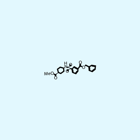 COC(=O)[C@H]1CC[C@H](NS(=O)(=O)c2cccc(C(=O)OCc3ccccc3)c2)CC1